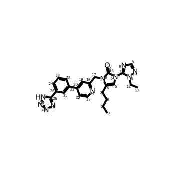 CCCCc1cn(-c2ncnn2CC)c(=O)n1Cc1cc(-c2cccc(-c3nnn[nH]3)c2)ccn1